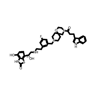 O=C(CCc1c[nH]c2ccccc12)N1CCOC2(CCN(Cc3cc(F)cc(CCNC[C@H](O)c4ccc(O)c5[nH]c(=O)sc45)c3)CC2)C1